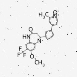 CCOc1cc2c(cc1C(F)(F)F)NC(=O)CC(c1cccc(-c3cc[n+]([O-])c(C)c3)c1)=N2